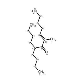 CCCCN(CCCC)C(=O)C(C)=CCCCN